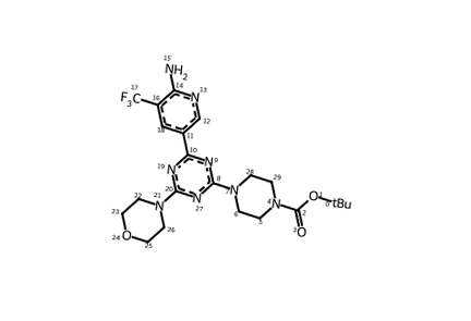 CC(C)(C)OC(=O)N1CCN(c2nc(-c3cnc(N)c(C(F)(F)F)c3)nc(N3CCOCC3)n2)CC1